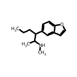 CCCC(c1ccc2occc2c1)C(C)NC